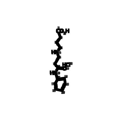 Cl.O=C(O)CCCNCCC(=O)Nc1ccccc1